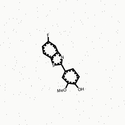 COc1cc(-c2nc3cc(F)ccc3s2)ccc1O